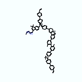 C=Cc1ccc(-c2ccc(N(C)c3ccc(-c4ccc(C)c(-c5cc(-c6ccc7sc8c(c7c6)C=C(C6=CC=C(N(c7ccc(-c9ccc(C=C)cc9)cc7)c7ccc9c(c7)C(C)(C)C=C9/C=C\C=C/C)CC6)CC8)ccc5C)c4)cc3)cc2)cc1